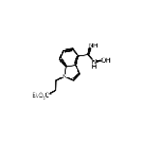 CCOC(=O)CCn1ccc2c(C(=N)NO)cccc21